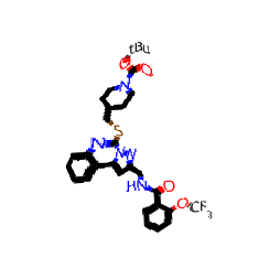 CC(C)(C)OC(=O)N1CCC(CSc2nc3ccccc3c3cc(CNC(=O)c4ccccc4OC(F)(F)F)nn23)CC1